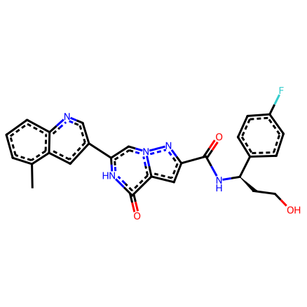 Cc1cccc2ncc(-c3cn4nc(C(=O)N[C@H](CCO)c5ccc(F)cc5)cc4c(=O)[nH]3)cc12